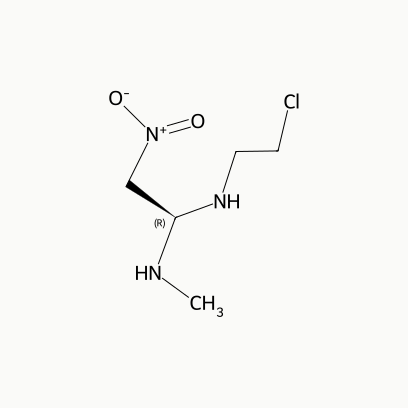 CN[C@@H](C[N+](=O)[O-])NCCCl